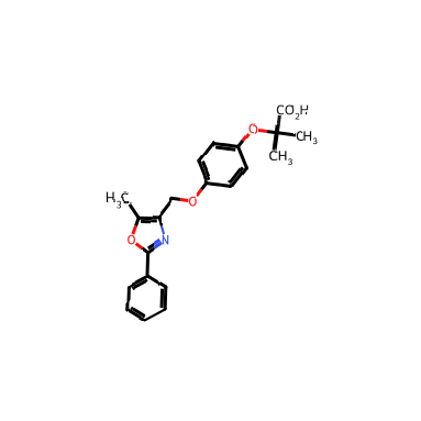 Cc1oc(-c2ccccc2)nc1COc1ccc(OC(C)(C)C(=O)O)cc1